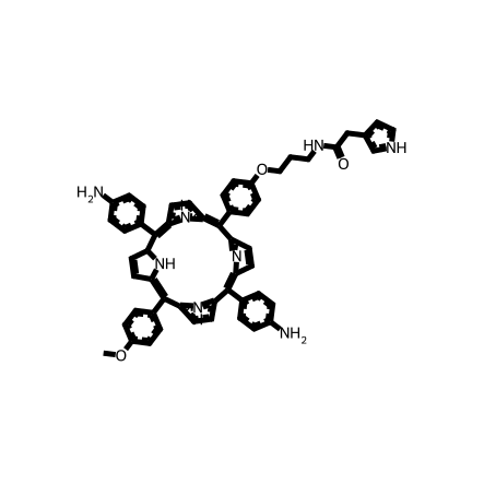 COc1ccc(/C2=C3\C=C[C@](C)(N3)/C(c3ccc(N)cc3)=c3/cc/c([nH]3)=C(\c3ccc(OCCCNC(=O)Cc4cc[nH]c4)cc3)C3=N/C(=C(/c4ccc(N)cc4)c4ccc2[nH]4)C=C3)cc1